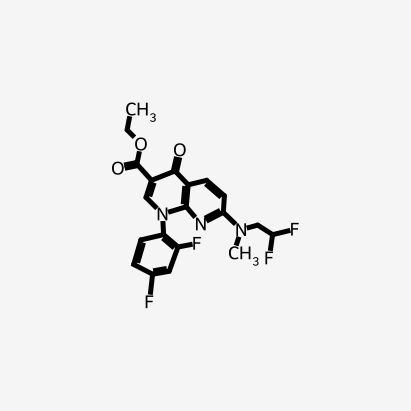 CCOC(=O)c1cn(-c2ccc(F)cc2F)c2nc(N(C)CC(F)F)ccc2c1=O